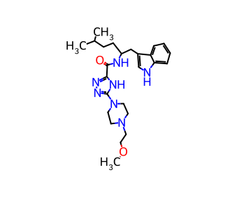 COCCN1CCN(c2nnc(C(=O)NC(CCC(C)C)Cc3c[nH]c4ccccc34)[nH]2)CC1